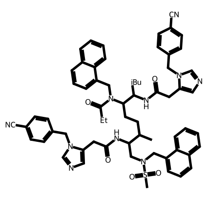 CCC(=O)N(Cc1cccc2ccccc12)C(CCC(C)C(CN(Cc1cccc2ccccc12)S(C)(=O)=O)NC(=O)Cc1cncn1Cc1ccc(C#N)cc1)C(NC(=O)Cc1cncn1Cc1ccc(C#N)cc1)C(C)CC